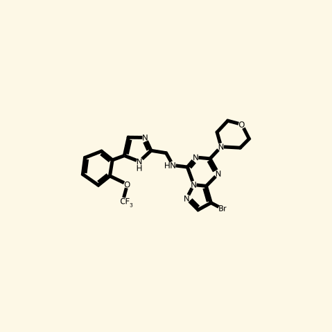 FC(F)(F)Oc1ccccc1-c1cnc(CNc2nc(N3CCOCC3)nc3c(Br)cnn23)[nH]1